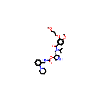 COCCCOc1cc(C(=O)N(C[C@@H]2CNC[C@H]2OC(=O)NCc2ccccc2N2CCCCC2)C(C)C)ccc1OC